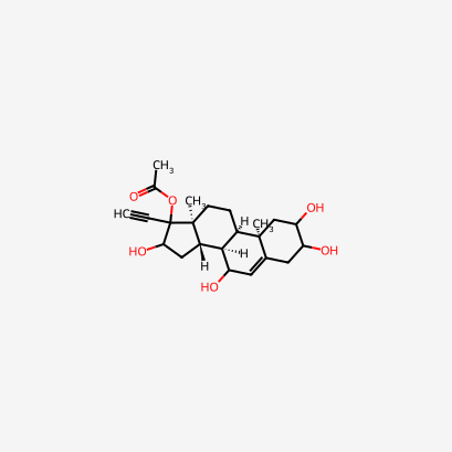 C#CC1(OC(C)=O)C(O)C[C@H]2[C@@H]3C(O)C=C4CC(O)C(O)C[C@]4(C)[C@@H]3CC[C@@]21C